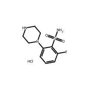 Cl.NS(=O)(=O)c1c(F)cccc1N1CCNCC1